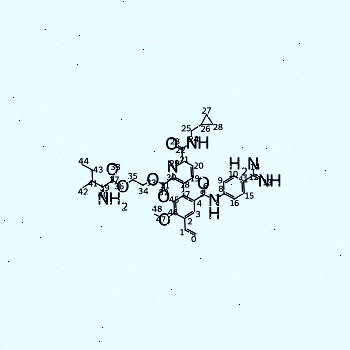 C=Cc1cc(C(=O)Nc2ccc(C(=N)N)cc2)c(-c2ccc(C(=O)NCC3CC3)nc2C(=O)OCCOC(=O)[C@@H](N)C(C)CC)cc1OC